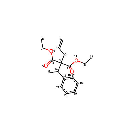 C=CCC(C(=O)OCC)(C(=O)OCC)C(C)c1ccccc1